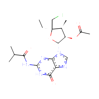 CC[C@@]1(CCl)O[C@@H](n2cnc3c(=O)[nH]c(NC(=O)C(C)C)nc32)[C@H](OC(C)=O)[C@@H]1C